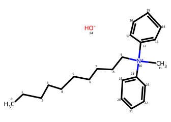 CCCCCCCCCC[N+](C)(c1ccccc1)c1ccccc1.[OH-]